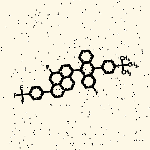 CC(C)(C)c1ccc(-c2c3ccccc3c(-c3ccc4c(F)cc5c(-c6ccc(C(F)(F)F)cc6)ccc6ccc3c4c65)c3ccc(F)cc23)cc1